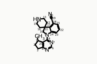 CC1CCc2ncnc(N3CC4(CCNCC4)c4c(C#N)cccc43)c21